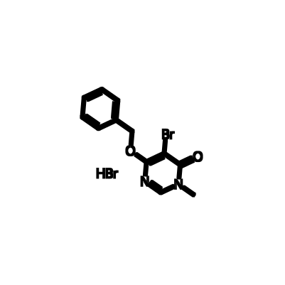 Br.Cn1cnc(OCc2ccccc2)c(Br)c1=O